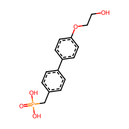 O=P(O)(O)Cc1ccc(-c2ccc(OCCO)cc2)cc1